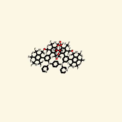 FC(F)(F)c1c(-c2cc(-c3c(C(F)(F)F)c(C(F)(F)F)c(C(F)(F)F)c(C(F)(F)F)c3C(F)(F)F)cc(N(c3ccc(N(c4cccnc4)c4cc(-c5c(C(F)(F)F)c(C(F)(F)F)c(C(F)(F)F)c(C(F)(F)F)c5C(F)(F)F)cc(-c5c(C(F)(F)F)c(C(F)(F)F)c(C(F)(F)F)c(C(F)(F)F)c5C(F)(F)F)c4)cc3)c3cccnc3)c2)c(C(F)(F)F)c(C(F)(F)F)c(C(F)(F)F)c1C(F)(F)F